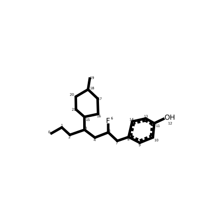 CCCC(CC(F)Cc1ccc(O)cc1)C1CCC(C)CC1